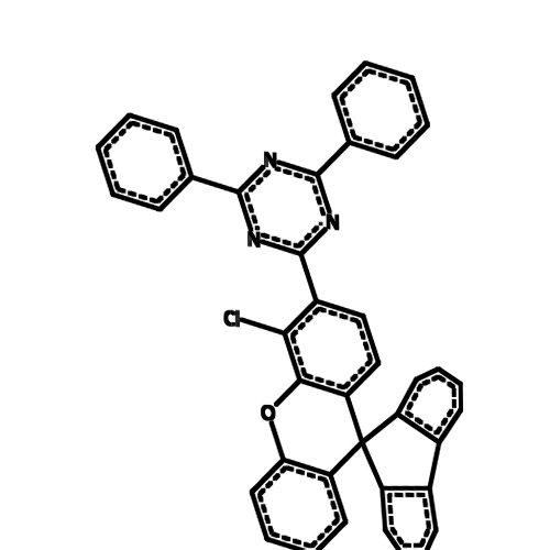 Clc1c(-c2nc(-c3ccccc3)nc(-c3ccccc3)n2)ccc2c1Oc1ccccc1C21c2ccccc2-c2ccccc21